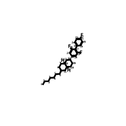 CCCCCCCC1CC[C@@H]2C[C@H](c3cc(F)c(-c4ccc(F)cc4)c(F)c3)CC[C@@H]2C1